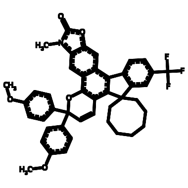 COc1ccc(C2(c3ccc(OC)cc3)C=Cc3c4c(c5cc6oc(=O)n(C)c6cc5c3O2)-c2ccc(C(F)(F)F)cc2C42CCCCCCC2)cc1